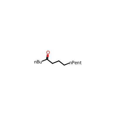 [CH2]CCCCCCCC(=O)CCCC